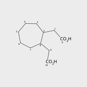 O=C(O)CC1CCCCCC1CC(=O)O